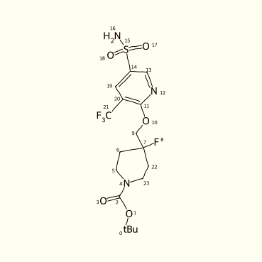 CC(C)(C)OC(=O)N1CCC(F)(COc2ncc(S(N)(=O)=O)cc2C(F)(F)F)CC1